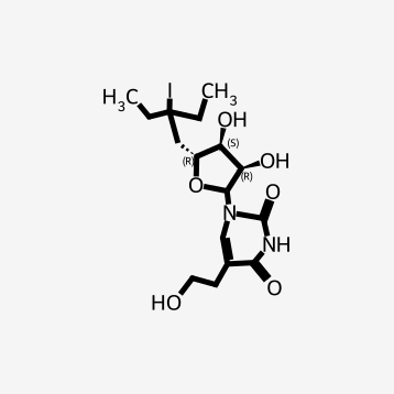 CCC(I)(CC)C[C@H]1OC(n2cc(CCO)c(=O)[nH]c2=O)[C@H](O)[C@@H]1O